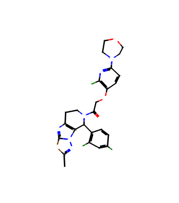 Cc1nn2c3c(nc2s1)CCN(C(=O)COc1ccc(N2CCOCC2)nc1Cl)C3c1ccc(Cl)cc1F